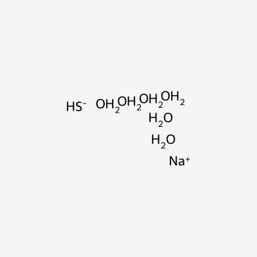 O.O.O.O.O.O.[Na+].[SH-]